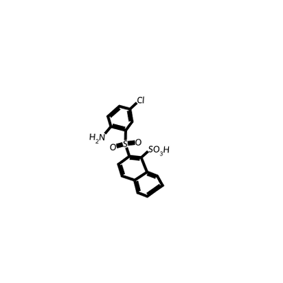 Nc1ccc(Cl)cc1S(=O)(=O)c1ccc2ccccc2c1S(=O)(=O)O